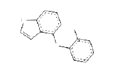 Clc1ccccc1Sc1cccc2c1C=CB2